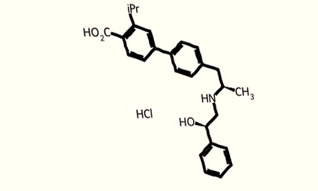 CC(C)c1cc(-c2ccc(C[C@@H](C)NC[C@H](O)c3ccccc3)cc2)ccc1C(=O)O.Cl